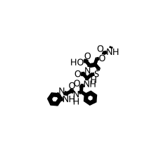 CNC(=O)OCC1=C(C(=O)O)N2C(=O)C(NC(=O)C(NC(=O)c3nc4ccccc4[nH]3)c3ccccc3)[C@@H]2SC1